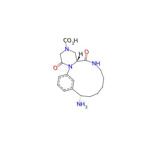 N[C@H]1CCCCCNC(=O)[C@H]2CN(C(=O)O)CC(=O)N2c2cccc1c2